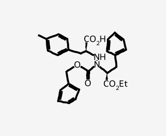 CCOC(=O)[C@H](Cc1ccccc1)N(N[C@@H](Cc1ccc(C)cc1)C(=O)O)C(=O)OCc1ccccc1